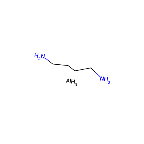 NCCCCN.[AlH3]